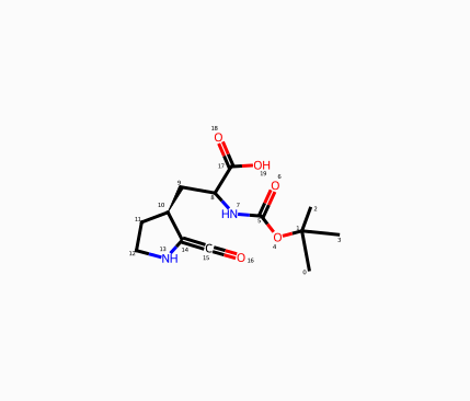 CC(C)(C)OC(=O)NC(C[C@@H]1CCNC1=C=O)C(=O)O